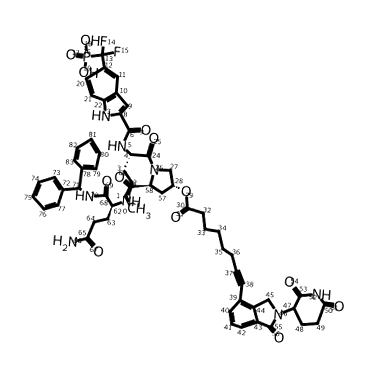 CCCC[C@H](NC(=O)c1cc2cc(C(F)(F)P(=O)(O)O)ccc2[nH]1)C(=O)N1C[C@H](OC(=O)CCCCCC#Cc2cccc3c2CN(C2CCC(=O)NC2=O)C3=O)C[C@H]1C(=O)N[C@@H](CCC(N)=O)C(=O)NC(c1ccccc1)c1ccccc1